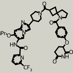 CC(C)Oc1cc2nc(C3CCN(C(=O)C4CC5(CCCN5C(=O)c5ccc(OC6CCC(=O)NC6=O)cc5)C4)CC3)cn2cc1NC(=O)c1cccc(C(F)(F)F)n1